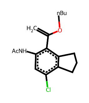 C=C(OCCCC)c1c(NC(C)=O)cc(Cl)c2c1CCC2